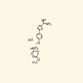 COC(=O)C[C@@H]1C[C@@H](COc2ccc(-c3ccc(C(=N)N)s3)cc2)NC1=O.Cl